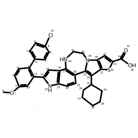 COc1ccc(-c2ccc(Cl)cc2)c(-c2cc3c4c(ccc3[nH]2)-c2c(C3CCCCC3)c3sc(C(=O)O)cc3n2CCN4)c1